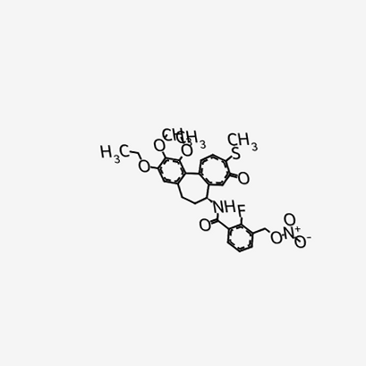 CCOc1cc2c(c(OC)c1OC)-c1ccc(SC)c(=O)cc1[C@@H](NC(=O)c1cccc(CO[N+](=O)[O-])c1F)CC2